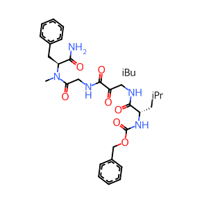 CC[C@H](C)C(NC(=O)[C@H](CC(C)C)NC(=O)OCc1ccccc1)C(=O)C(=O)NCC(=O)N(C)[C@@H](Cc1ccccc1)C(N)=O